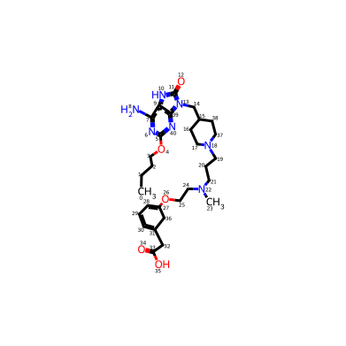 CCCCOc1nc(N)c2[nH]c(=O)n(CC3CCN(CCCN(C)CCOC4=CC=C=C(CC(=O)O)C4)CC3)c2n1